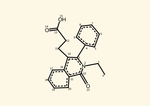 CCn1c(-c2ccccc2)c(CCC(=O)O)c2ccccc2c1=O